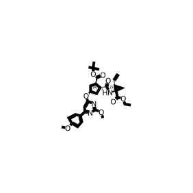 C=C[C@@H]1C[C@]1(NC(=O)[C@@H]1C[C@@H](Oc2cc(-c3ccc(OC)cc3)nc(OC)n2)C[C@H]1C(=O)OC(C)(C)C)C(=O)OCC